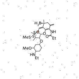 B[C@@]1(C)CC(=C)C(NC(=O)CC)=C(OC2OC(C)C(C)C2OC2CCC(NCC)C(OC)C2)/C1=C\CSSSC